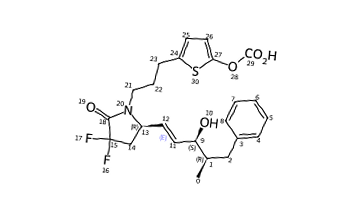 C[C@H](Cc1ccccc1)[C@H](O)/C=C/[C@H]1CC(F)(F)C(=O)N1CCCc1ccc(OC(=O)O)s1